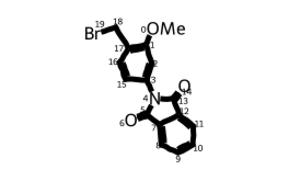 COc1cc(N2C(=O)c3ccccc3C2=O)ccc1CBr